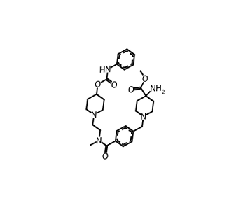 COC(=O)C1(N)CCN(Cc2ccc(C(=O)N(C)CCN3CCC(OC(=O)Nc4ccccc4)CC3)cc2)CC1